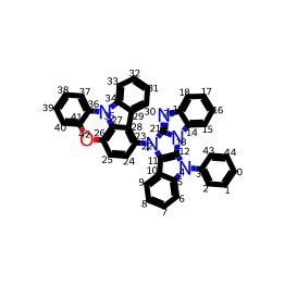 c1ccc(-n2c3ccccc3c3c2n2c4ccccc4nc2n3-c2ccc3c4c2c2ccccc2n4-c2ccccc2O3)cc1